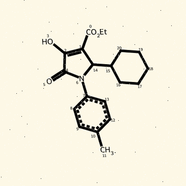 CCOC(=O)C1=C(O)C(=O)N(c2ccc(C)cc2)C1C1CCCCC1